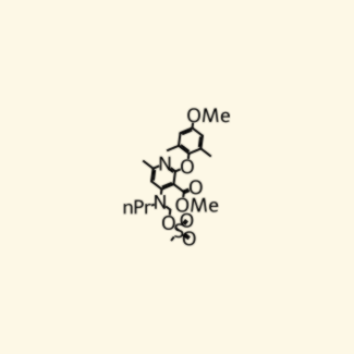 CCCN(COS(C)(=O)=O)c1cc(C)nc(Oc2c(C)cc(OC)cc2C)c1C(=O)OC